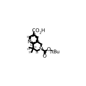 CC(C)(C)OC(=O)N1Cc2cc(C(=O)O)cnc2C(C)(C)C1